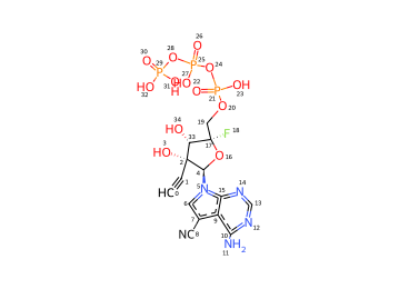 C#C[C@]1(O)[C@H](n2cc(C#N)c3c(N)ncnc32)O[C@](F)(COP(=O)(O)OP(=O)(O)OP(=O)(O)O)[C@H]1O